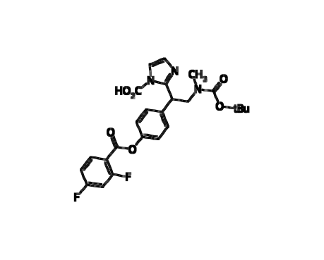 CN(CC(c1ccc(OC(=O)c2ccc(F)cc2F)cc1)c1nccn1C(=O)O)C(=O)OC(C)(C)C